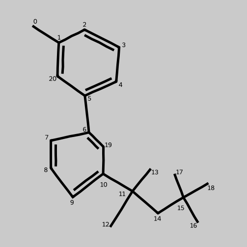 Cc1cccc(-c2cccc(C(C)(C)CC(C)(C)C)c2)c1